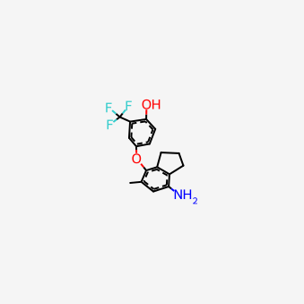 Cc1cc(N)c2c(c1Oc1ccc(O)c(C(F)(F)F)c1)CCC2